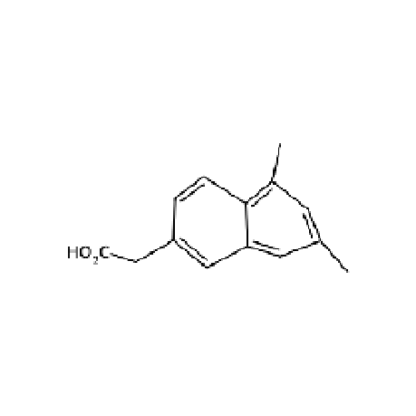 Cc1cc(C)c2ccc(CC(=O)O)cc2c1